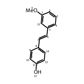 COc1cccc(C=Cc2ccc(O)cc2)c1